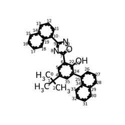 CC(C)(C)c1cc(-c2nc(-c3cccc4ccccc34)no2)c(O)c(-c2cccc3ccccc23)c1